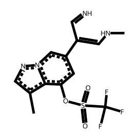 CN/C=C(\C=N)c1cc(OS(=O)(=O)C(F)(F)F)c2c(C)cnn2c1